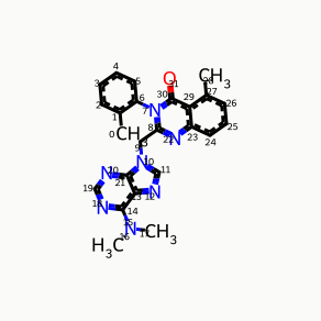 Cc1ccccc1-n1c(Cn2cnc3c(N(C)C)ncnc32)nc2cccc(C)c2c1=O